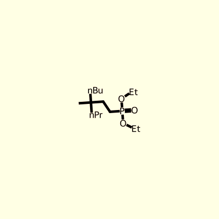 CCCCC(C)(CCC)CCP(=O)(OCC)OCC